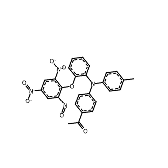 CC(=O)c1ccc(N(c2ccc(C)cc2)c2ccccc2Oc2c(N=O)cc([N+](=O)[O-])cc2[N+](=O)[O-])cc1